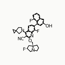 N#Cc1c(OC[C@@]23CCCN2C[C@H](F)C3)nc2c(F)c(-c3cc(O)cc4cccc(F)c34)ccc2c1N1CCC2(CC2)C1